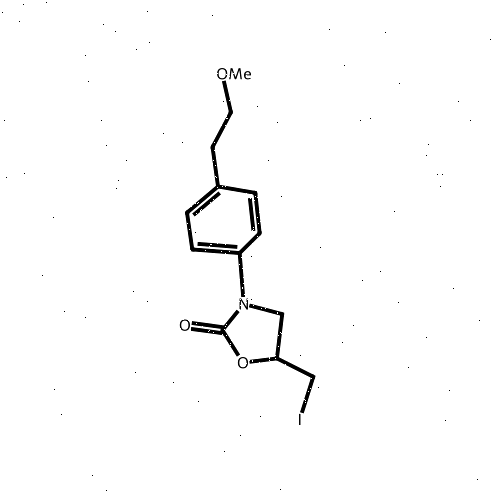 COCCc1ccc(N2CC(CI)OC2=O)cc1